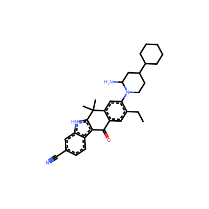 CCc1cc2c(cc1N1CCC(C3CCCCC3)CC1N)C(C)(C)c1[nH]c3cc(C#N)ccc3c1C2=O